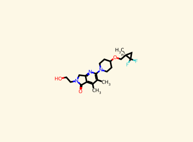 Cc1c(N2CCC(OC[C@@]3(C)CC3(F)F)CC2)nc2c(c1C)C(=O)N(CCO)C2